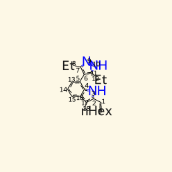 C=Cc1[nH]c2c(-c3c(CC)n[nH]c3CC)cccc2c1CCCCCC